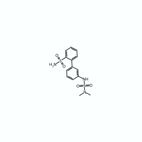 CN(C)S(=O)(=O)Nc1cccc(-c2cc[c]cc2S(N)(=O)=O)c1